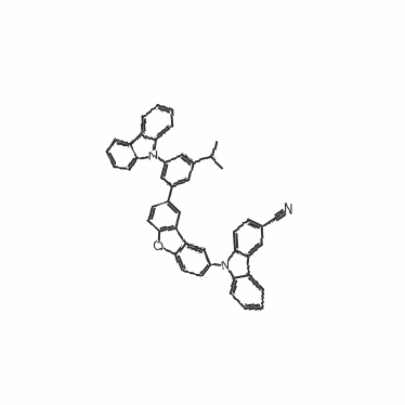 CC(C)c1cc(-c2ccc3oc4ccc(-n5c6ccccc6c6cc(C#N)ccc65)cc4c3c2)cc(-n2c3ccccc3c3ccccc32)c1